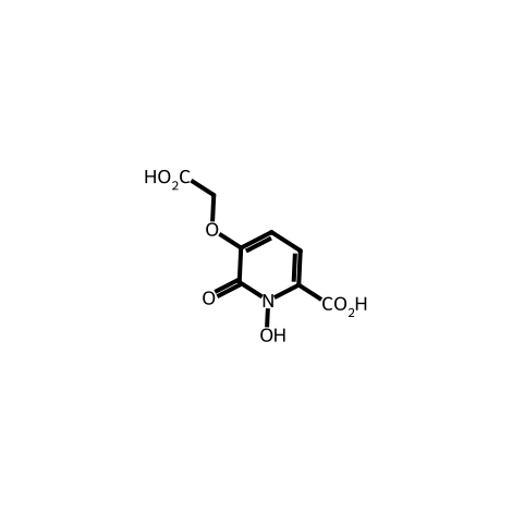 O=C(O)COc1ccc(C(=O)O)n(O)c1=O